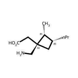 CCC[C@@H]1C[C@](CN)(CC(=O)O)[C@@H]1C